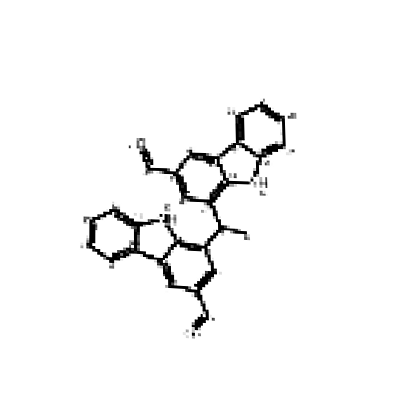 [CH2]C(c1cc(C=O)cc2c1[nH]c1ccccc12)c1cc(C=O)cc2c1[nH]c1ccccc12